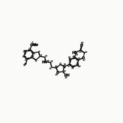 COc1ncc(F)c2c1CC(CNCCC1CN(c3cnc4c(n3)NC(=O)CO4)C(O)O1)C2